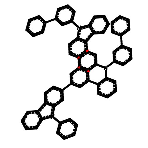 c1ccc(-c2cccc(N(c3ccccc3)c3ccccc3-c3cc(-c4ccc5c(c4)c4ccccc4n5-c4cccc(-c5ccccc5)c4)cc(-c4ccc5c6ccccc6n(-c6ccccc6)c5c4)c3)c2)cc1